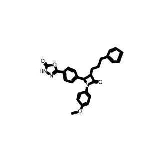 COc1ccc(N2C(=O)C(CCCc3ccccc3)C2c2ccc(-c3n[nH]c(=O)o3)cc2)cc1